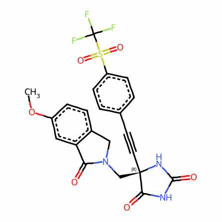 COc1ccc2c(c1)C(=O)N(C[C@@]1(C#Cc3ccc(S(=O)(=O)C(F)(F)F)cc3)NC(=O)NC1=O)C2